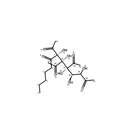 CCCCCC(=O)[C@@](O)(C(C)=O)[C@](O)(C(C)=O)[C@@](O)(C(C)=O)[C@H](O)C(O)C(C)=O